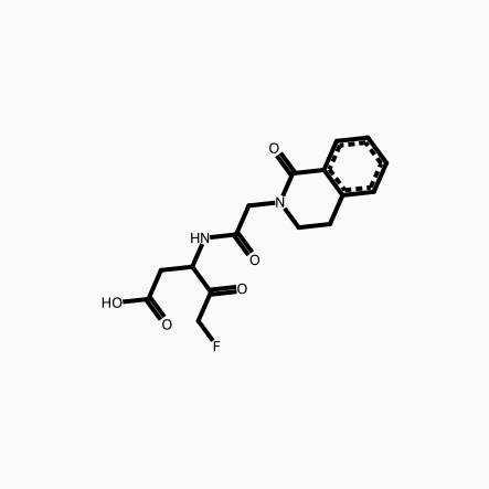 O=C(O)CC(NC(=O)CN1CCc2ccccc2C1=O)C(=O)CF